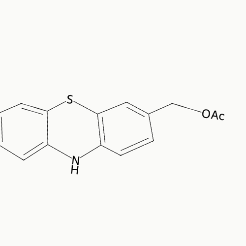 CC(=O)OCc1ccc2c(c1)Sc1ccccc1N2